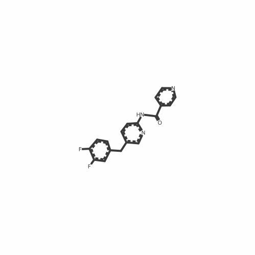 O=C(Nc1ccc(Cc2ccc(F)c(F)c2)cn1)c1ccncc1